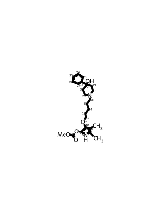 COC(=O)Oc1[nH]c(C)c(C)c1OCCCCCN1CCC(O)(c2ccccc2)CC1